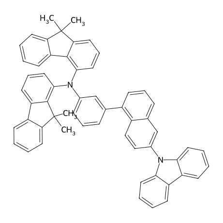 CC1(C)c2ccccc2-c2c(N(c3cccc(-c4cccc5cc(-n6c7ccccc7c7ccccc76)ccc45)c3)c3cccc4c3C(C)(C)c3ccccc3-4)cccc21